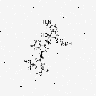 Nc1ccc2cc(SOOO)c(N=Nc3ccc(N=Nc4cc(C(=O)O)cc(C(=O)O)c4)c4ccccc34)c(O)c2c1